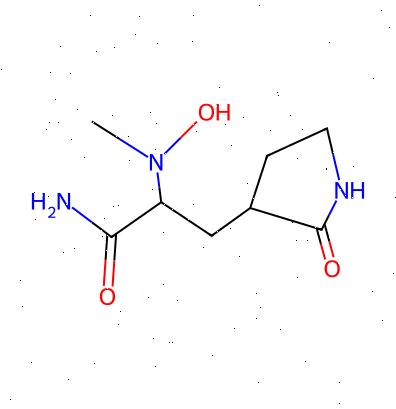 CN(O)C(CC1CCNC1=O)C(N)=O